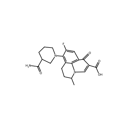 CC1CCc2c(N3CCCC(C(N)=O)C3)c(F)cc3c(=O)c(C(=O)O)cn1c23